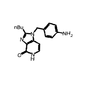 CCCCc1nc2c(=O)[nH]ccc2n1Cc1ccc(N)cc1